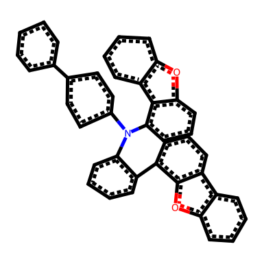 c1ccc(-c2ccc(N(c3ccccc3-c3cccc4c3oc3ccccc34)c3cccc4oc5ccccc5c34)cc2)cc1